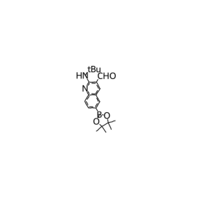 CC(C)(C)Nc1nc2ccc(B3OC(C)(C)C(C)(C)O3)cc2cc1C=O